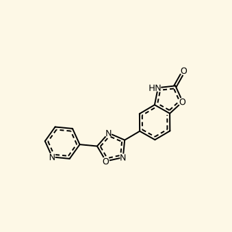 O=c1[nH]c2cc(-c3noc(-c4cccnc4)n3)ccc2o1